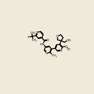 CCOc1ncc(-c2cc(NC(=O)c3ccnc(C(C)(C)F)c3)cnc2C)cc1C1(CO)CCOC1